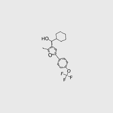 Cc1oc(-c2ccc(OC(F)(F)F)cc2)cc1C(O)C1CCCCC1